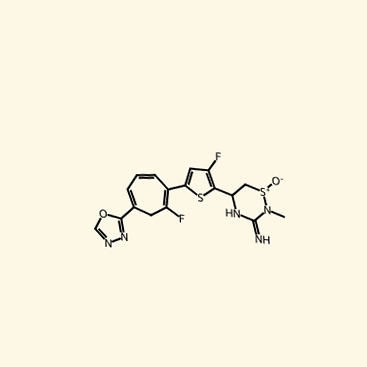 CN1C(=N)NC(c2sc(C3=C(F)CC(c4nnco4)=CC=C3)cc2F)C[S+]1[O-]